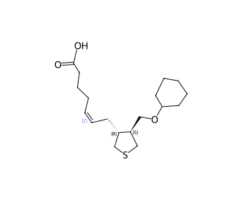 O=C(O)CCC/C=C\C[C@H]1CSC[C@@H]1COC1CCCCC1